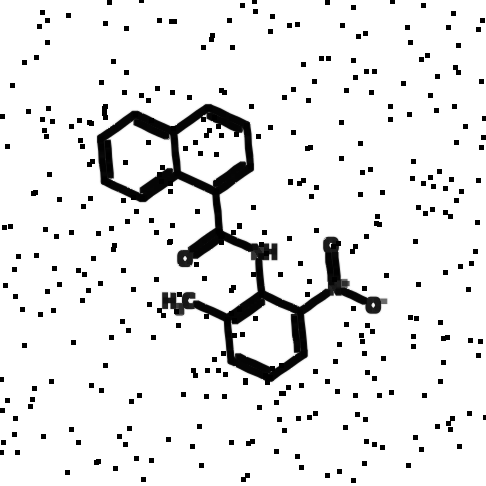 Cc1cccc([N+](=O)[O-])c1NC(=O)c1cccc2ccccc12